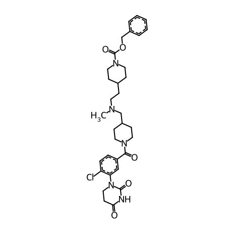 CN(CCC1CCN(C(=O)OCc2ccccc2)CC1)CC1CCN(C(=O)c2ccc(Cl)c(N3CCC(=O)NC3=O)c2)CC1